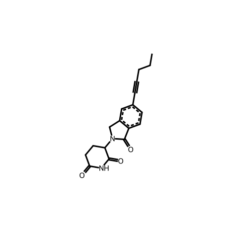 CCCC#Cc1ccc2c(c1)CN(C1CCC(=O)NC1=O)C2=O